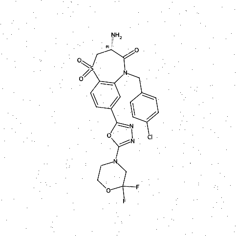 N[C@H]1CS(=O)(=O)c2ccc(-c3nnc(N4CCOC(F)(F)C4)o3)cc2N(Cc2ccc(Cl)cc2)C1=O